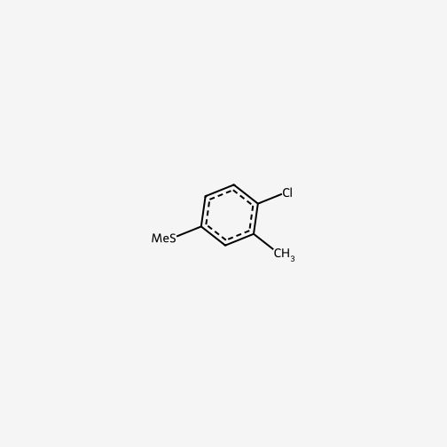 CSc1ccc(Cl)c(C)c1